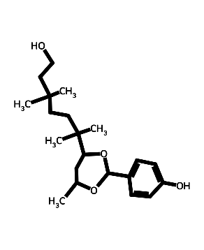 CC1CC(C(C)(C)CCC(C)(C)CCO)OC(c2ccc(O)cc2)O1